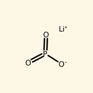 O=P(=O)[O-].[Li+]